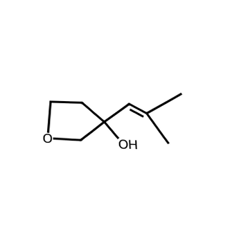 CC(C)=CC1(O)CCOC1